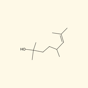 CC(C)=CC(C)CCC(C)(C)O